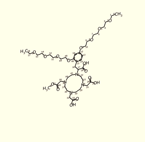 CCOCCOCCOCCOc1ccc(CC(C(=O)O)N2CCN(CC(=O)O)CCN(CC(=O)O)CCN(CC(=O)OC)CC2)c(OCCOCCOCCOCC)c1